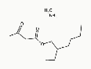 CCCCC(CC)COC(=O)CC(C)=O.N.O